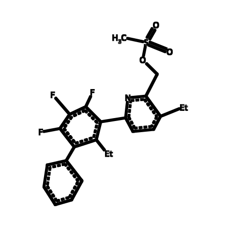 CCc1ccc(-c2c(F)c(F)c(F)c(-c3ccccc3)c2CC)nc1COS(C)(=O)=O